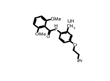 COc1cccc(OC)c1C(=O)Pc1ccc(OCCC(C)C)cc1C.[LiH]